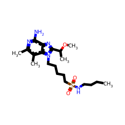 CCCCNS(=O)(=O)CCCCCn1c(C(C)OC)nc2c(N)nc(C)c(C)c21